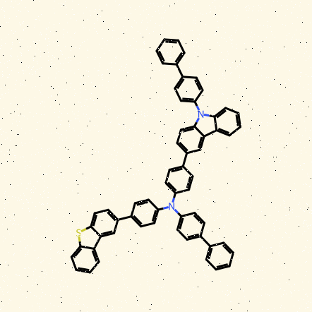 c1ccc(-c2ccc(N(c3ccc(-c4ccc5sc6ccccc6c5c4)cc3)c3ccc(-c4ccc5c(c4)c4ccccc4n5-c4ccc(-c5ccccc5)cc4)cc3)cc2)cc1